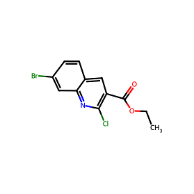 CCOC(=O)c1cc2ccc(Br)cc2nc1Cl